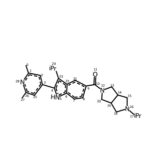 Cc1cc(-c2[nH]c3ccc(C(=O)N4CC5CN(C(C)C)CC5C4)cc3c2C(C)C)cc(C)n1